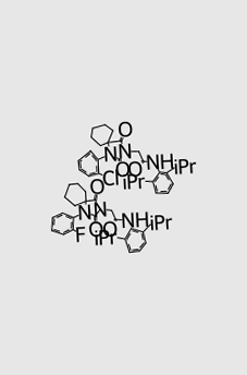 CC(C)c1cccc(C(C)C)c1NC(=O)CN1C(=O)N(c2ccccc2Cl)C2(CCCCC2)C1=O.CC(C)c1cccc(C(C)C)c1NC(=O)CN1C(=O)N(c2ccccc2F)C2(CCCCC2)C1=O